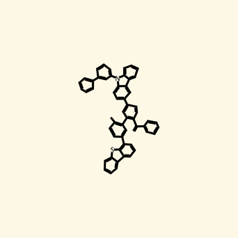 C=C(c1ccccc1)c1ccc(-c2ccc3c(c2)c2ccccc2n3-c2cccc(-c3ccccc3)c2)cc1-c1cc(-c2cccc3c2sc2ccccc23)ccc1C